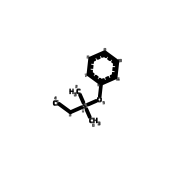 C[Si](C)(CCl)Oc1ccccc1